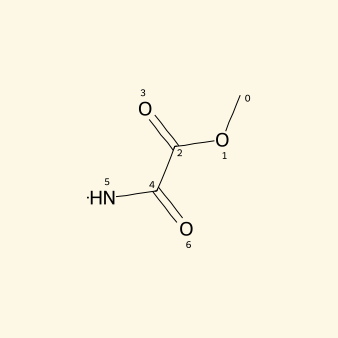 COC(=O)C([NH])=O